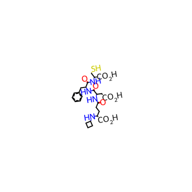 O=C(O)CC(NC(=O)CCC(NC1CCC1)C(=O)O)C(=O)NC(Cc1ccccc1)C(=O)NC(CS)C(=O)O